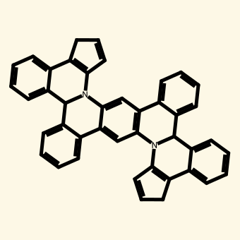 C1=CC2=C(C1)c1ccccc1C1c3ccccc3-c3cc4c(cc3N21)-c1ccccc1C1c2ccccc2C2=C(C=CC2)N41